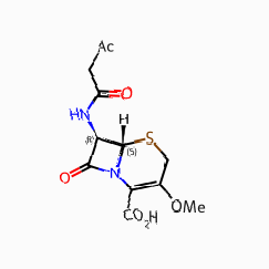 COC1=C(C(=O)O)N2C(=O)[C@@H](NC(=O)CC(C)=O)[C@@H]2SC1